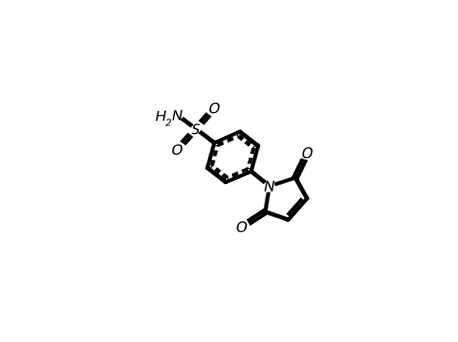 NS(=O)(=O)c1ccc(N2C(=O)C=CC2=O)cc1